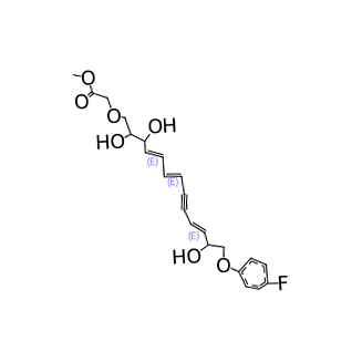 COC(=O)COCC(O)C(O)/C=C/C=C/C#C/C=C/C(O)COc1ccc(F)cc1